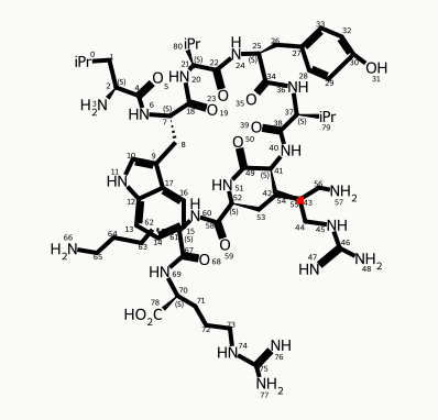 CC(C)C[C@H](N)C(=O)N[C@@H](Cc1c[nH]c2ccccc12)C(=O)N[C@H](C(=O)N[C@@H](Cc1ccc(O)cc1)C(=O)N[C@H](C(=O)N[C@@H](CCCNC(=N)N)C(=O)N[C@@H](CCCCN)C(=O)N[C@@H](CCCCN)C(=O)N[C@@H](CCCNC(=N)N)C(=O)O)C(C)C)C(C)C